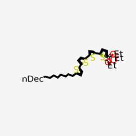 CCCCCCCCCCCCCCCCCCc1ccc(-c2ccc(-c3ccc(-c4ccc([Si](OCC)(OCC)OCC)s4)s3)s2)s1